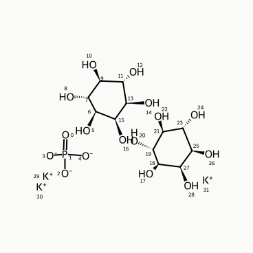 O=P([O-])([O-])[O-].O[C@H]1[C@H](O)[C@@H](O)[C@H](O)[C@@H](O)[C@H]1O.O[C@H]1[C@H](O)[C@@H](O)[C@H](O)[C@@H](O)[C@H]1O.[K+].[K+].[K+]